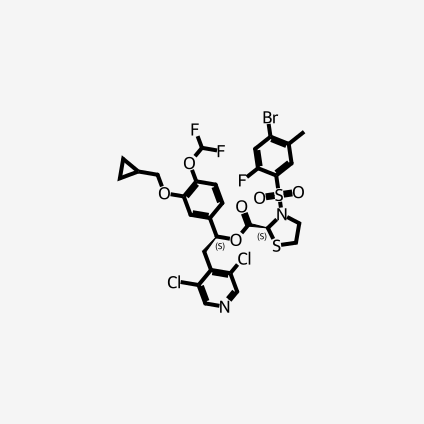 Cc1cc(S(=O)(=O)N2CCS[C@H]2C(=O)O[C@@H](Cc2c(Cl)cncc2Cl)c2ccc(OC(F)F)c(OCC3CC3)c2)c(F)cc1Br